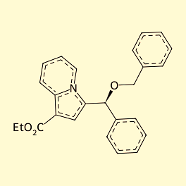 CCOC(=O)c1cc([C@@H](OCc2ccccc2)c2ccccc2)n2ccccc12